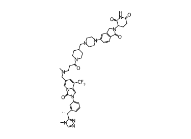 C[C@H](c1cccc(-n2cc3c(C(F)(F)F)cc(CN(C)CCC(=O)N4CCC(CN5CCN(c6ccc7c(c6)CN(C6CCC(=O)NC6=O)C7=O)CC5)CC4)cn3c2=O)c1)c1nncn1C